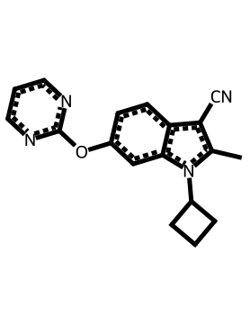 Cc1c(C#N)c2ccc(Oc3ncccn3)cc2n1C1CCC1